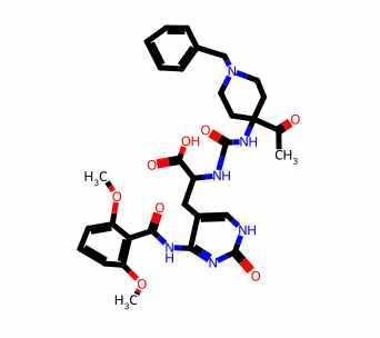 COc1cccc(OC)c1C(=O)Nc1nc(=O)[nH]cc1CC(NC(=O)NC1(C(C)=O)CCN(Cc2ccccc2)CC1)C(=O)O